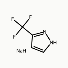 FC(F)(F)c1cc[nH]n1.[NaH]